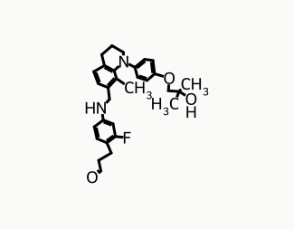 Cc1c(CNc2ccc(CCC=O)c(F)c2)ccc2c1N(c1ccc(OCC(C)(C)O)cc1)CCC2